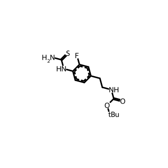 CC(C)(C)OC(=O)NCCc1ccc(NC(N)=S)c(F)c1